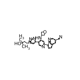 CC(C)(O)CCn1cc(-c2cnc(-c3ccc4cc(C#N)cnn34)cc2NC2COC2)nn1